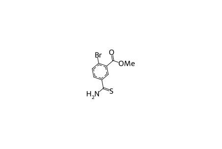 COC(=O)c1cc(C(N)=S)ccc1Br